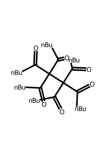 CCCCC(=O)C(C(=O)CCCC)(C(=O)CCCC)C(C(=O)CCCC)(C(=O)CCCC)C(=O)CCCC